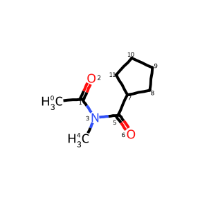 CC(=O)N(C)C(=O)C1CCCC1